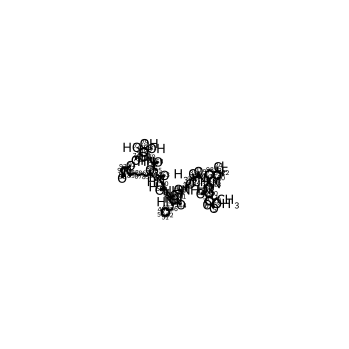 CC[C@@]1(O)C(=O)OCc2c1cc1n(c2=O)Cc2c-1nc1cc(F)c(Cl)c3c1c2[C@@H](NC(=O)C(C)(C)COCNC(=O)CNC(=O)[C@H](Cc1ccccc1)NC(=O)CNC(=O)CNC(=O)[C@H](CCC(=O)NC[C@@H]1O[C@H](CO)[C@@H](O)[C@H](O)[C@H]1O)NC(=O)CCCCCN1C(=O)C=CC1=O)CC3